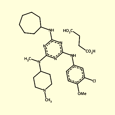 COc1ccc(Nc2nc(NC3CCCCCC3)nc(N(C)C3CCN(C)CC3)n2)cc1Cl.O=C(O)CCC(=O)O